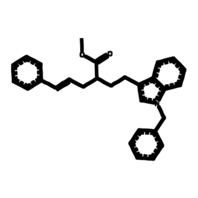 COC(=O)C(CC=Cc1ccccc1)CCc1cn(Cc2ccccc2)c2ccccc12